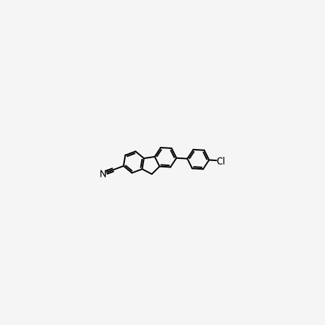 N#Cc1ccc2c(c1)Cc1cc(-c3ccc(Cl)cc3)ccc1-2